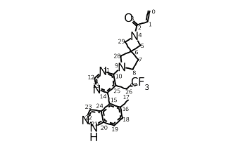 C=CC(=O)N1CC2(CCN(c3ncnc(-c4c(C)ccc5[nH]ncc45)c3CC(F)(F)F)C2)C1